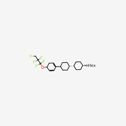 CCCCCC[C@H]1CC[C@H](C2CCC(C3=CCC(OC(F)(F)C(F)(F)CF)C=C3)CC2)CC1